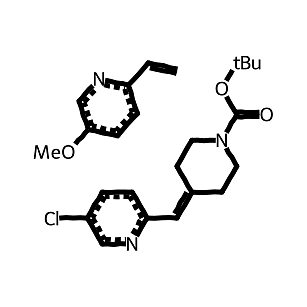 C=Cc1ccc(OC)cn1.CC(C)(C)OC(=O)N1CCC(=Cc2ccc(Cl)cn2)CC1